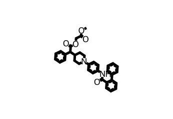 COC(=O)COC(=O)C(c1ccccc1)C1CCN(c2ccc(NC(=O)c3ccccc3-c3ccccc3)cc2)CC1